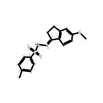 COc1ccc2c(c1)CC/C2=N\NS(=O)(=O)c1ccc(C)cc1